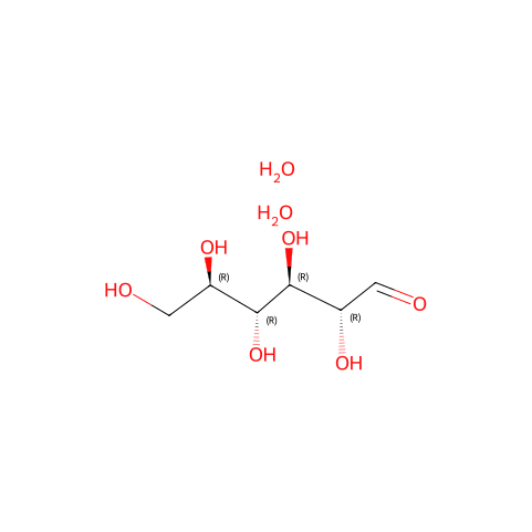 O.O.O=C[C@H](O)[C@H](O)[C@H](O)[C@H](O)CO